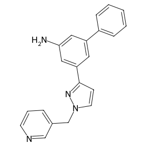 Nc1cc(-c2ccccc2)cc(-c2ccn(Cc3cccnc3)n2)c1